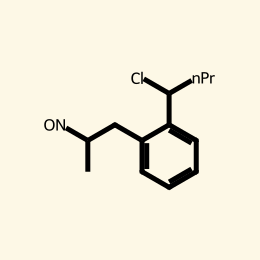 CCCC(Cl)c1ccccc1CC(C)N=O